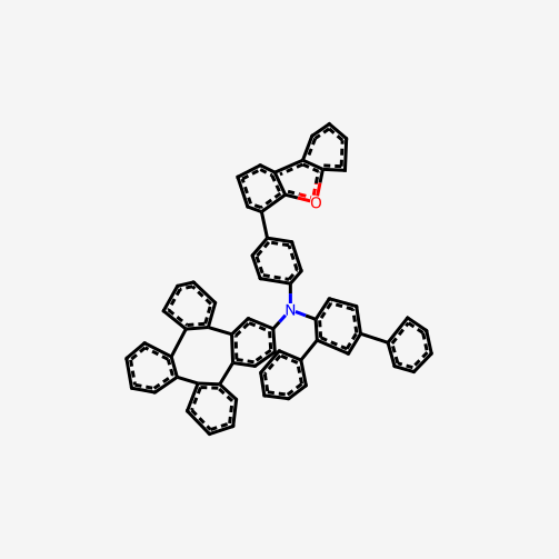 c1ccc(-c2ccc(N(c3ccc(-c4cccc5c4oc4ccccc45)cc3)c3ccc4c(c3)-c3ccccc3-c3ccccc3-c3ccccc3-4)c(-c3ccccc3)c2)cc1